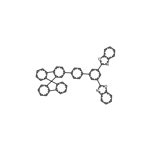 c1ccc2c(c1)-c1ccccc1C21c2ccccc2-c2ccc(-c3ccc(-c4cc(-c5nc6ccccc6o5)cc(-c5nc6ccccc6o5)c4)cc3)cc21